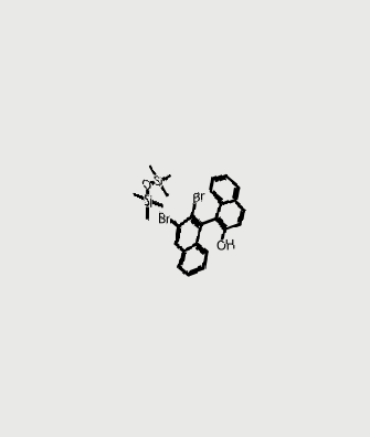 C[Si](C)(C)O[Si](C)(C)C.Oc1ccc2ccccc2c1-c1c(Br)c(Br)cc2ccccc12